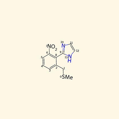 CSCc1cccc([N+](=O)[O-])c1-c1ncc[nH]1